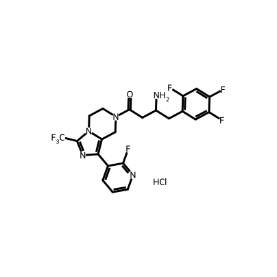 Cl.NC(CC(=O)N1CCn2c(C(F)(F)F)nc(-c3cccnc3F)c2C1)Cc1cc(F)c(F)cc1F